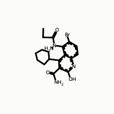 CCC(=O)N(N)c1c(Br)ccc2nc(O)c(C(N)=O)c(C3CCCCC3)c12